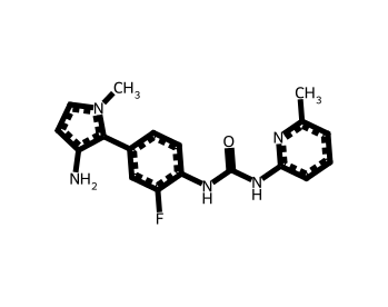 Cc1cccc(NC(=O)Nc2ccc(-c3c(N)ccn3C)cc2F)n1